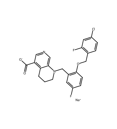 O=C([O-])c1cncc2c1CCCN2Cc1cc(F)ccc1OCc1ccc(Cl)cc1F.[Na+]